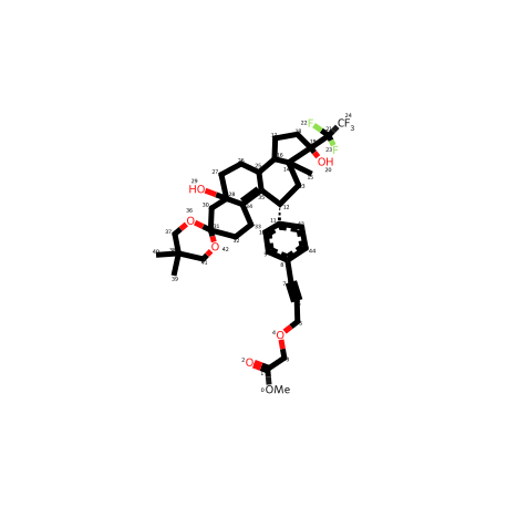 COC(=O)COCC#Cc1ccc([C@H]2CC3(C)C(CCC3(O)C(F)(F)C(F)(F)F)C3CCC4(O)CC5(CCC4=C32)OCC(C)(C)CO5)cc1